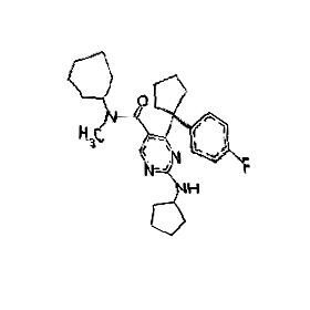 CN(C(=O)c1cnc(NC2CCCC2)nc1C1(c2ccc(F)cc2)CCCC1)C1CCCCC1